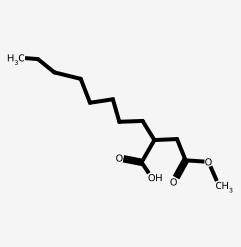 CCCCCCCCC(CC(=O)OC)C(=O)O